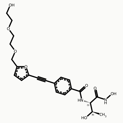 C[C@@H](O)[C@H](NC(=O)c1ccc(C#Cc2ccc(COCCOCCO)o2)cc1)C(=O)NO